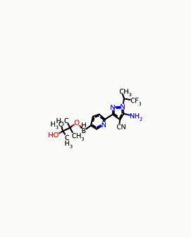 CC(n1nc(-c2ccc(BOC(C)(C)C(C)(C)O)cn2)c(C#N)c1N)C(F)(F)F